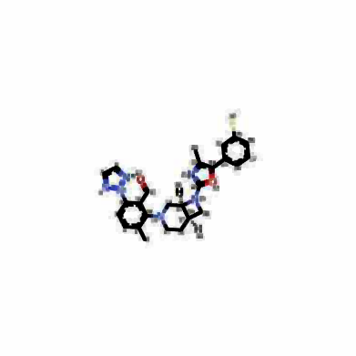 Cc1ccc(-n2nccn2)c(C=O)c1N1CC[C@@H]2CN(c3nc(C)c(-c4cccc(F)c4)o3)[C@@H]2C1